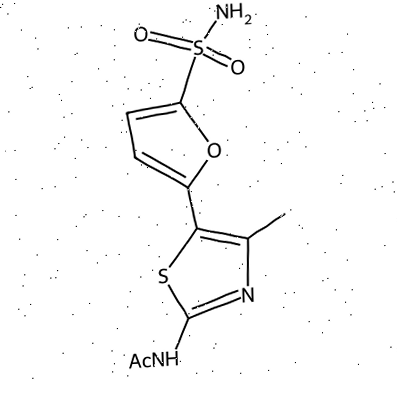 CC(=O)Nc1nc(C)c(-c2ccc(S(N)(=O)=O)o2)s1